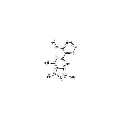 CCCOc1ncccc1-c1cc(N)c2c(C(C)C)nn(C)c2n1